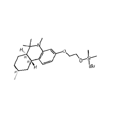 C[C@@H]1CC[C@@H]2[C@@H](C1)c1ccc(OCCO[Si](C)(C)C(C)(C)C)cc1N(C)C2(C)C